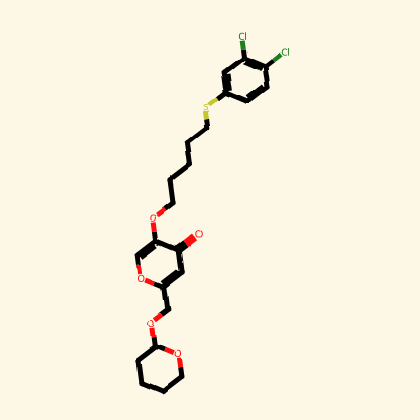 O=c1cc(COC2CCCCO2)occ1OCCCCCSc1ccc(Cl)c(Cl)c1